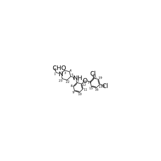 O=CCN1CCC(Nc2ccccc2Oc2ccc(Cl)cc2Cl)CC1